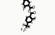 O=C(OC(=O)c1ccc(C(F)(F)C(F)(F)F)cc1F)c1ccc(Br)cc1F